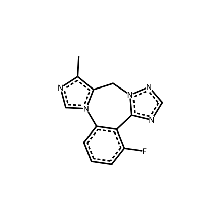 Cc1ncn2c1Cn1ncnc1-c1c(F)cccc1-2